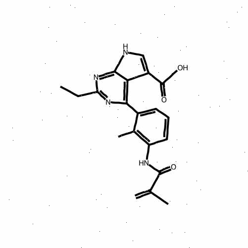 C=C(C)C(=O)Nc1cccc(-c2nc(CC)nc3[nH]cc(C(=O)O)c23)c1C